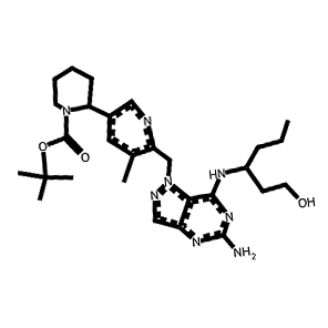 CCCC(CCO)Nc1nc(N)nc2cnn(Cc3ncc(C4CCCCN4C(=O)OC(C)(C)C)cc3C)c12